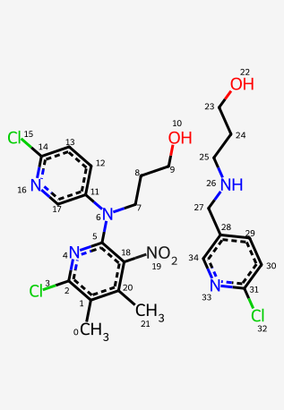 Cc1c(Cl)nc(N(CCCO)c2ccc(Cl)nc2)c([N+](=O)[O-])c1C.OCCCNCc1ccc(Cl)nc1